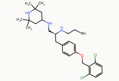 CC(C)(C)CCN[C@H](CNC1CC(C)(C)NC(C)(C)C1)Cc1ccc(OCc2c(Cl)cccc2Cl)cc1